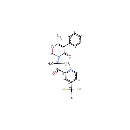 CC1=C(c2ccccc2)C(=O)N(C(C)(C)C(=O)c2cc(C(F)(F)F)ccn2)CO1